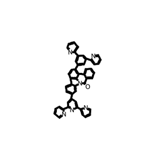 O=c1c2ccccc2c2c(-c3cc(-c4ccccn4)cc(-c4ccccn4)c3)ccc3c4ccc(-c5cc(-c6ccccn6)nc(-c6ccccn6)c5)cc4n1c32